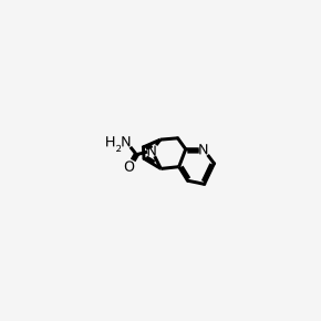 NC(=O)n1c2ccc1-c1cccnc1C2